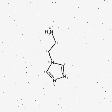 NCCn1cnnc1